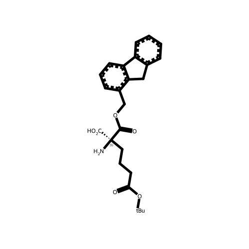 CC(C)(C)OC(=O)CCC[C@](N)(C(=O)O)C(=O)OCc1cccc2c1Cc1ccccc1-2